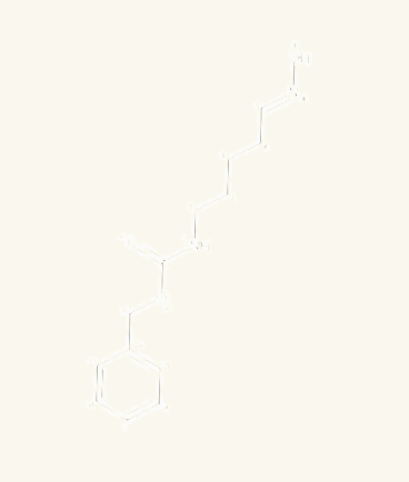 O=C(NCCCCC=NO)OCc1ccccc1